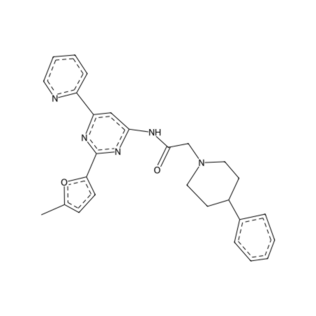 Cc1ccc(-c2nc(NC(=O)CN3CCC(c4ccccc4)CC3)cc(-c3ccccn3)n2)o1